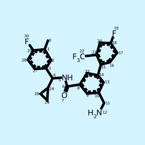 Cc1cc(C(NC(=O)c2cc(CN)cc(-c3ccc(F)cc3C(F)(F)F)c2)C2CC2)ccc1F